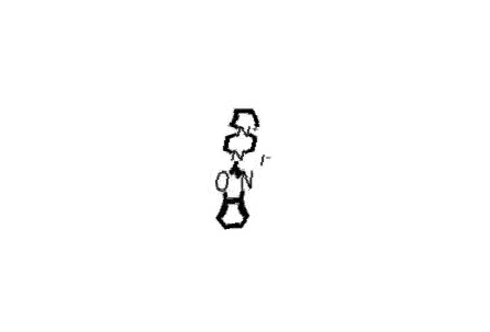 [I-].c1ccc2oc(N3CC[N+]4(CCCC4)CC3)nc2c1